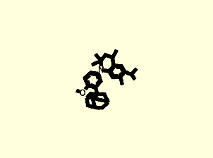 COc1ccc(N2c3cc(C)c(C(C)C)cc3C(C)CC2(C)C)cc1C12CC3CC(CC(C3)C1)C2